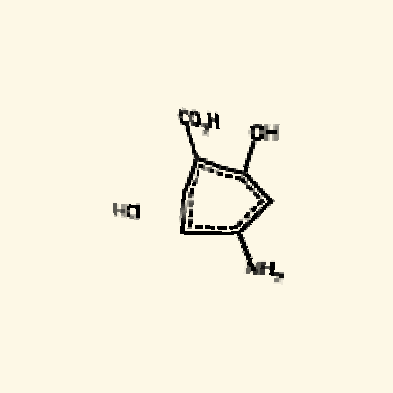 Cl.Nc1ccc(C(=O)O)c(O)c1